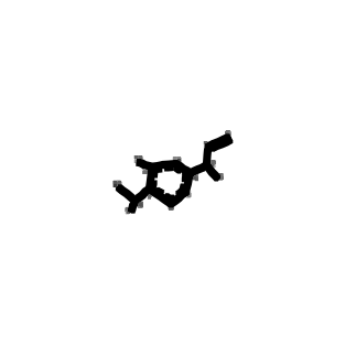 C=C[C](C)c1ccc(C(C)C)c(C)c1